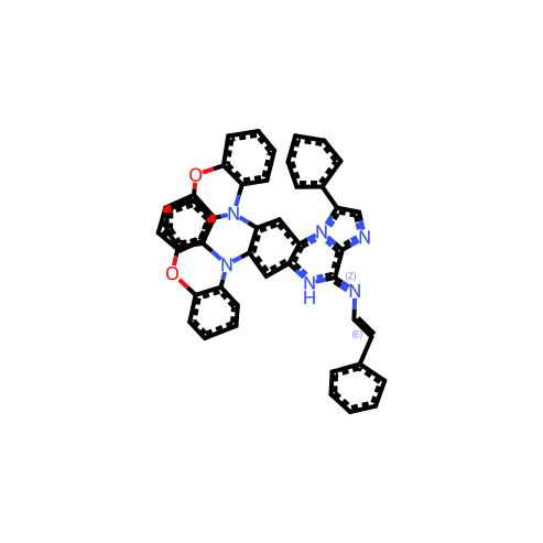 C(=C\c1ccccc1)/N=c1\[nH]c2cc(N3c4ccccc4Oc4ccccc43)c(N3c4ccccc4Oc4ccccc43)cc2n2c(-c3ccccc3)cnc12